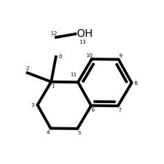 CC1(C)CCCc2ccccc21.CO